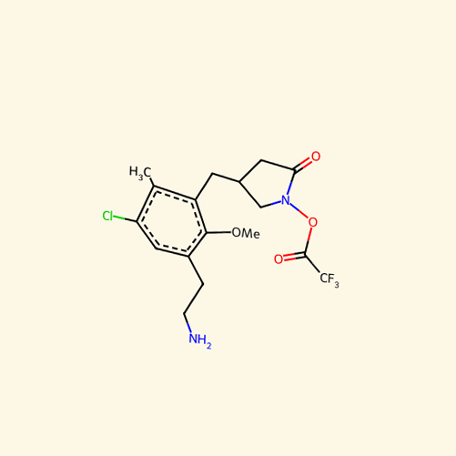 COc1c(CCN)cc(Cl)c(C)c1CC1CC(=O)N(OC(=O)C(F)(F)F)C1